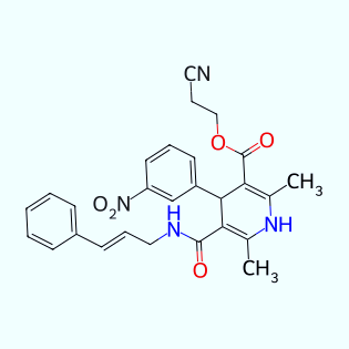 CC1=C(C(=O)NCC=Cc2ccccc2)C(c2cccc([N+](=O)[O-])c2)C(C(=O)OCCC#N)=C(C)N1